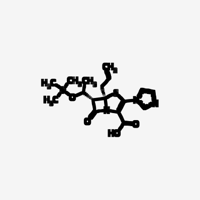 C=CC[C@]12SC(n3ccnc3)=C(C(=O)O)N1C(=O)[C@@H]2C(C)O[Si](C)(C)C